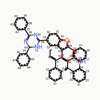 C=C(/C(=C\C(=C/C)c1ccccc1)c1ccccc1)c1ccccc1NC1=Cc2oc3ccc(C4=NC(c5ccccc5)=NC(c5ccccc5)N4)cc3c2CC1